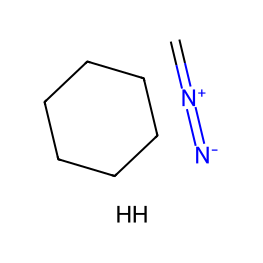 C1CCCCC1.C=[N+]=[N-].[HH]